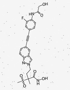 CC(CCn1cc2cc(C#Cc3ccc(NC(=O)CO)c(F)c3)ccc2n1)(C(=O)NO)S(C)(=O)=O